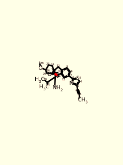 CC#Cc1csc(-c2ccc3c(c2)C2(N=C(N)N(C(C)C)C2=O)C2(CCC(OI)CC2)C3)n1